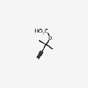 C#CC(C)(C)OC(=O)O